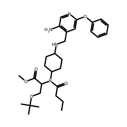 CCCC(=O)N(C1CCC(NCc2cc(Oc3ccccc3)ncc2N)CC1)C(COC(C)(C)C)C(=O)OC